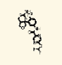 NC1=NC2(c3cc(NC(=O)c4cnc(OC(F)F)cn4)ccc3F)COCC2CS1